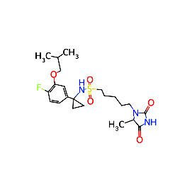 CC(C)COc1cc(C2(NS(=O)(=O)CCCCCN3C(=O)NC(=O)C3C)CC2)ccc1F